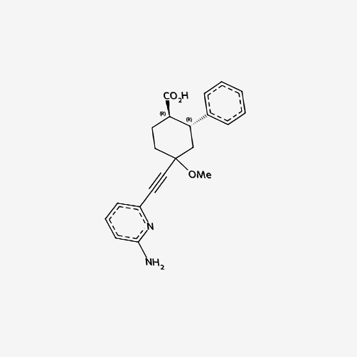 COC1(C#Cc2cccc(N)n2)CC[C@@H](C(=O)O)[C@H](c2ccccc2)C1